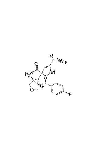 CNC(=O)C1=CC(C(N)=O)(C2[C@H]3COC[C@@H]23)N([C@@H](C)c2ccc(F)cc2)N1